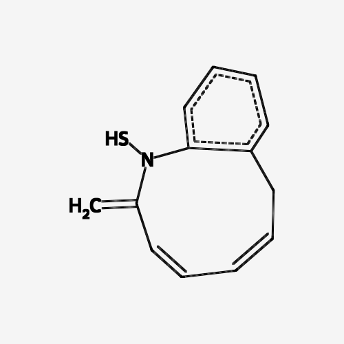 C=C1/C=C\C=C/Cc2ccccc2N1S